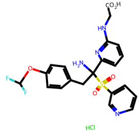 Cl.NC(Cc1ccc(OC(F)F)cc1)(c1cccc(NCC(=O)O)n1)S(=O)(=O)c1cccnc1